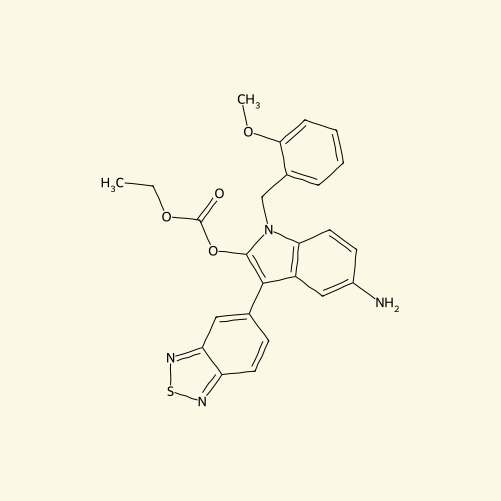 CCOC(=O)Oc1c(-c2ccc3nsnc3c2)c2cc(N)ccc2n1Cc1ccccc1OC